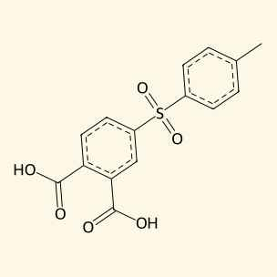 Cc1ccc(S(=O)(=O)c2ccc(C(=O)O)c(C(=O)O)c2)cc1